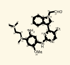 CCc1cnc(Nc2cc(N)c(N(C)CCN(C)C)cc2OC)nc1-c1cn(CC=O)c2ccccc12